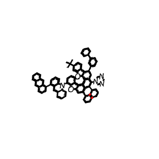 CC(C)(C)c1ccc2c(c1)oc1c2c(-c2cccc(-c3ccccc3)c2)cc2c(N3C=NC=NC3)c(-c3ccccc3)c3c(-c4ccccc4)cc4oc5c(N6c7cccc(-c8cccc9cc%10ccccc%10cc89)c7C=C7C=CC=CC76)cccc5c4c3c21